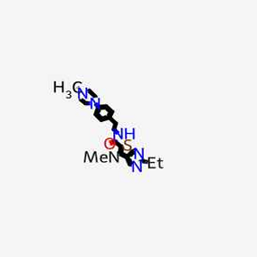 CCc1ncc2c(NC)c(C(=O)NCCc3ccc(N4CCN(C)CC4)cc3)sc2n1